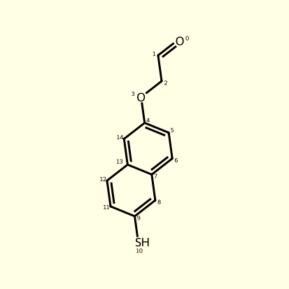 O=CCOc1ccc2cc(S)ccc2c1